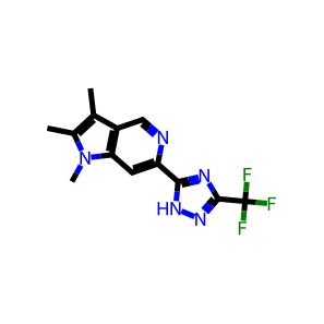 Cc1c(C)n(C)c2cc(-c3nc(C(F)(F)F)n[nH]3)ncc12